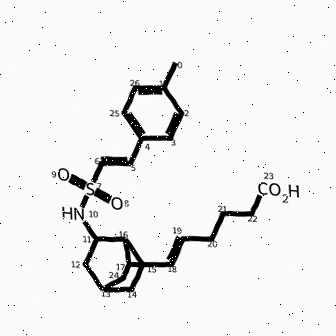 Cc1ccc(C=CS(=O)(=O)NC2CC3CCC2C(C=CCCCC(=O)O)C3)cc1